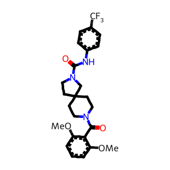 COc1cccc(OC)c1C(=O)N1CCC2(CCN(C(=O)Nc3ccc(C(F)(F)F)cc3)C2)CC1